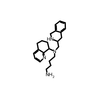 NCCCCN(CC1Cc2ccccc2CN1)C1CCCc2cccnc21